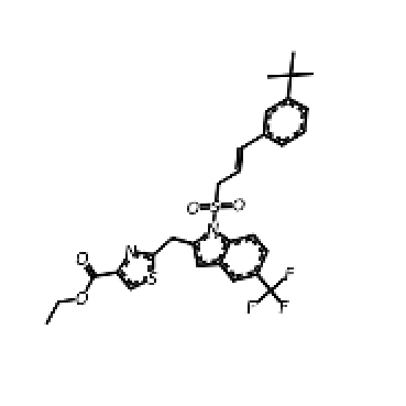 CCOC(=O)c1csc(Cc2cc3cc(C(F)(F)F)ccc3n2S(=O)(=O)CC=Cc2cccc(C(C)(C)C)c2)n1